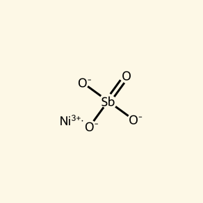 [Ni+3].[O]=[Sb]([O-])([O-])[O-]